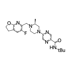 C[C@H]1CN(c2cnc(C(=O)NC(C)(C)C)cn2)CCN1Cc1nc2c(cc1F)CCO2